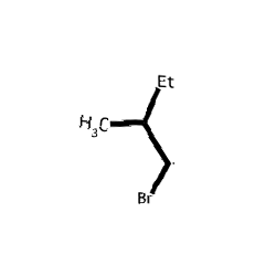 CCC(C)[CH]Br